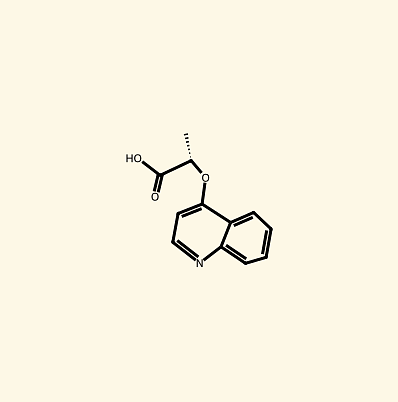 C[C@H](Oc1ccnc2ccccc12)C(=O)O